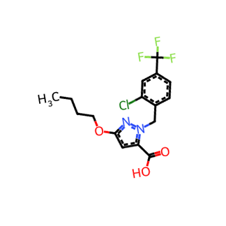 CCCCOc1cc(C(=O)O)n(Cc2ccc(C(F)(F)F)cc2Cl)n1